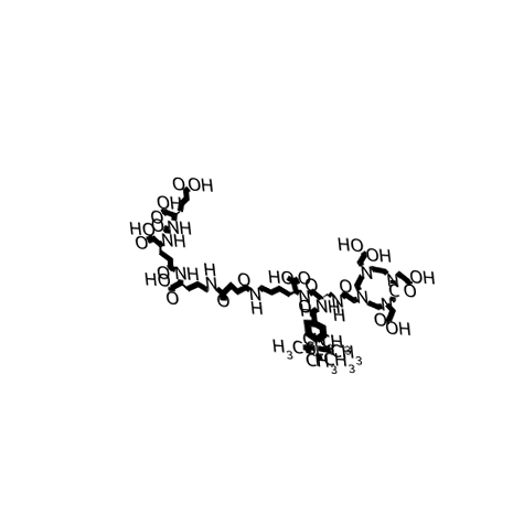 CC(C)(C)[Si](F)(c1ccc(C(=O)N[C@@H](CNC(=O)CN2CCN(CC(=O)O)CCN(CC(=O)O)CCN(CC(O)O)CC2)C(=O)N[C@@H](CCCCNC(=O)CCC(=O)NCCC[C@H](NC(=O)CC[C@H](NC(=O)N[C@@H](CCCC(=O)O)C(=O)O)C(=O)O)C(=O)O)C(=O)O)cc1)C(C)(C)C